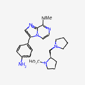 CNc1nccn2c(-c3ccc(N)cc3)cnc12.O=C(O)N1CCC[C@@H]1CN1CCCC1